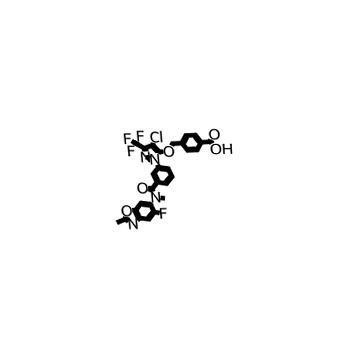 Cc1nc2cc(F)c(N(C)C(=O)c3cccc(-n4nc(C(F)(F)F)c(Cl)c4OCc4ccc(C(=O)O)cc4)c3)cc2o1